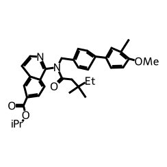 CCC(C)(C)CC(=O)N(Cc1ccc(-c2ccc(OC)c(C)c2)cc1)c1nccc2cc(C(=O)OC(C)C)ccc12